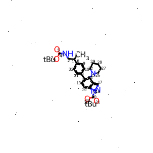 CC(CNC(=O)OC(C)(C)C)c1ccc(-c2ccc3c(cnn3C(=O)OC(C)(C)C)c2N2CCCCC2)cc1